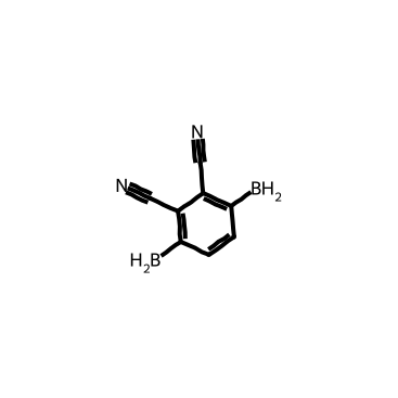 Bc1ccc(B)c(C#N)c1C#N